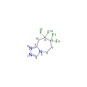 FC1(F)CCn2cnnc2CC1(F)F